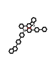 c1ccc(-c2ccc(-c3ccc(N(c4ccc(-c5ccc(-c6ccc7ccccc7c6)cc5)cc4)c4ccccc4-c4ccc5sc6ccccc6c5c4)cc3)cc2)cc1